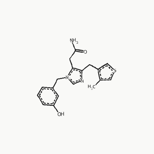 Cc1cscc1Cc1ncn(Cc2cccc(O)c2)c1CC(N)=O